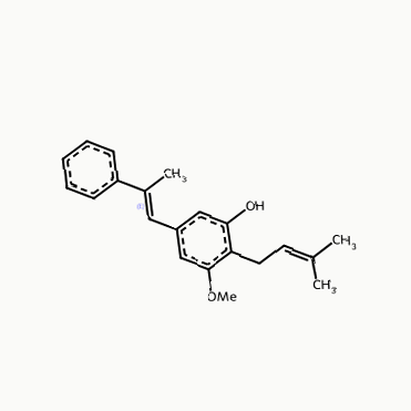 COc1cc(/C=C(\C)c2ccccc2)cc(O)c1CC=C(C)C